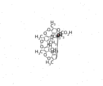 CC1=C2OCOc3c4cc5c(c3C)OCOc3c(cc6c(c3C)OCOc3c(cc7c(c3C)O[C@H](C(=O)O)OC1C(C=C2[C@H]4C)[C@@H]7C)[C@@H]6C)[C@@H]5C